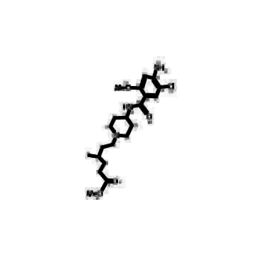 COC(=O)CCC(C)CCN1CCC(NC(=O)c2cc(Cl)c(N)cc2OC)CC1